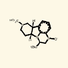 CC(C)(C)C1C[S+]([O-])c2cccc3c2N1[C@@H]1CCN(C(=O)O)C[C@H]31